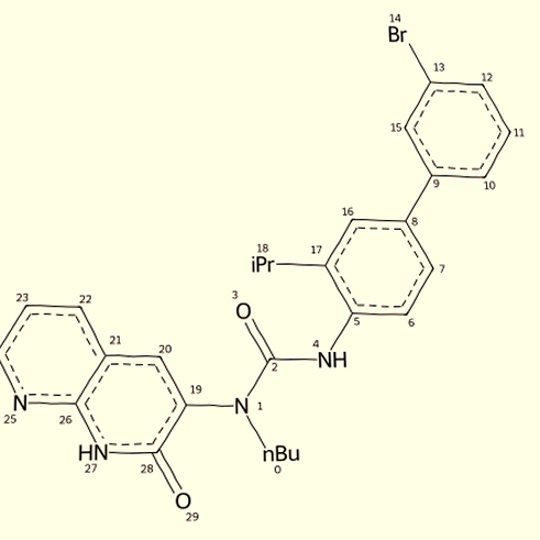 CCCCN(C(=O)Nc1ccc(-c2cccc(Br)c2)cc1C(C)C)c1cc2cccnc2[nH]c1=O